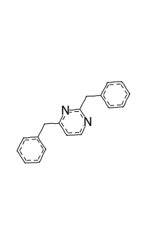 c1ccc(Cc2ccnc(Cc3ccccc3)n2)cc1